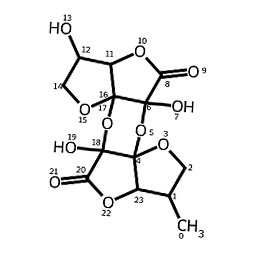 CC1COC23OC4(O)C(=O)OC5C(O)COC54OC2(O)C(=O)OC13